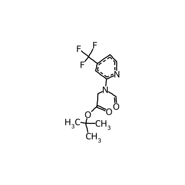 CC(C)(C)OC(=O)CN(C=O)c1cc(C(F)(F)F)ccn1